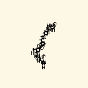 CC(C)Oc1c(-c2cn[nH]c2)ncn2nc(Nc3ccc(S(=O)(=O)c4cccc(CC5CC(c6ccc(C(=O)N[C@@H]7CCC(=O)NC7=O)cc6)C5)c4)cc3F)nc12